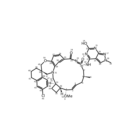 CO[C@H]1/C=C/C[C@H](C)C[S@@](=O)(Nc2nc(O)nc3nn(C)cc23)=NC(=O)c2ccc3c(c2)N(C[C@@H]2CC[C@H]21)C[C@@]1(CCCc2cc(Cl)ccc21)CO3